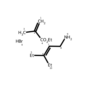 Br.C=C(C)C(=O)OCC.CCC(=CCN)CC